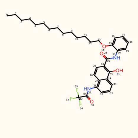 CCCCCCCCCCCCCCOc1ccccc1NC(=O)c1ccc2c(NC(=O)C(F)(F)F)cccc2c1O